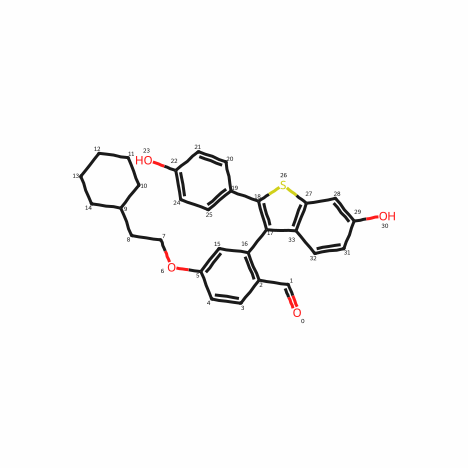 O=Cc1ccc(OCCC2CCCCC2)cc1-c1c(-c2ccc(O)cc2)sc2cc(O)ccc12